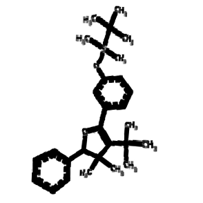 CC(C)(C)C1=C(c2cccc(O[Si](C)(C)C(C)(C)C)c2)OC(c2ccccc2)C1(C)C